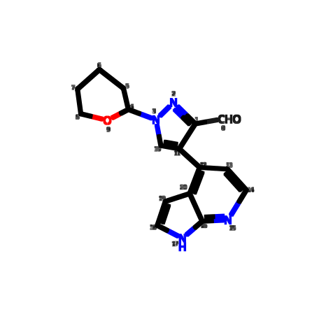 O=Cc1nn(C2CCCCO2)cc1-c1ccnc2[nH]ccc12